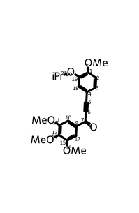 COc1ccc(C#CC(=O)c2cc(OC)c(OC)c(OC)c2)cc1OC(C)C